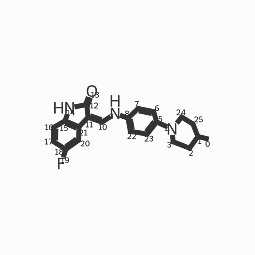 CC1CCN(c2ccc(NC=C3C(=O)Nc4ccc(F)cc43)cc2)CC1